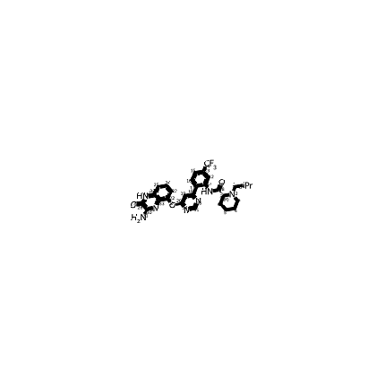 CC(C)CN1CCCC[C@@H]1C(=O)Nc1cc(C(F)(F)F)ccc1-c1cc(Oc2cccc3[nH]c(=O)c(N)nc23)ncn1